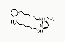 NCCCCCCO.O=[N+]([O-])c1cccnc1NCCCCCCN1CCCCC1